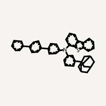 c1ccc(-c2ccc(-c3ccc(N(c4cccc(C56CC7CC(CC(C7)C5)C6)c4)c4cccc5c4sc4ccccc45)cc3)cc2)cc1